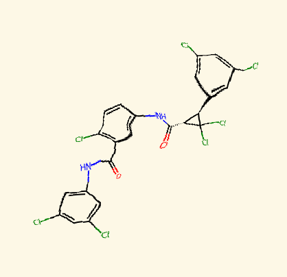 O=C(Nc1cc(Cl)cc(Cl)c1)c1cc(NC(=O)[C@@H]2[C@@H](c3cc(Cl)cc(Cl)c3)C2(Cl)Cl)ccc1Cl